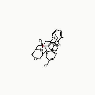 CC(C)c1cccc(C(=O)N2C3COCC2CN(Cc2c(-c4ccc(Cl)cc4)nc4ccccn24)C3)c1